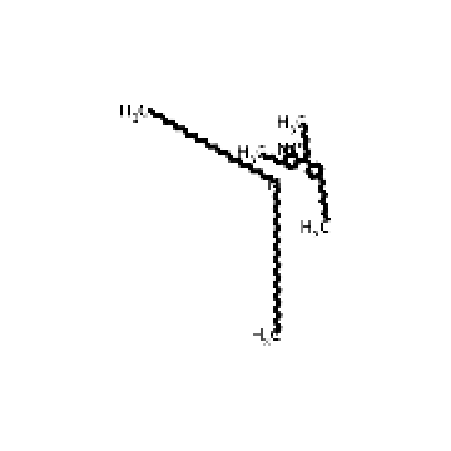 CCCCCCCCCCCCCCCCCCCCCCC[CH2][Ni][CH2]CCCCCCCCCCCCCCCCCCCCCCC.CCCCCCCCc1ccc(C(=CC(=C=[N+]=[N-])CCCC)c2ccc(CCCC)cc2)cc1